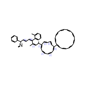 C=NC(/C=C/C=C(\C(C)=C/C(C)C1=C/C=C\C=C/C=C(c2ccccccccccccccccc2)\C=C\C=C\1)c1ccccc1C)c1ccccc1